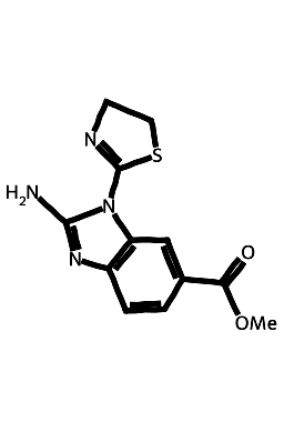 COC(=O)c1ccc2nc(N)n(C3=NCCS3)c2c1